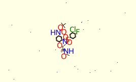 CC(=O)N[C@H](C)C1CN(S(=O)(=O)c2ccc(F)c(Cl)c2)c2cc(NC(=O)OC(C)(C)C)ccc2O1